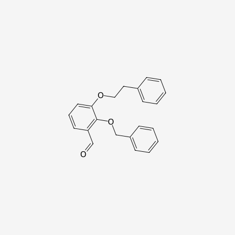 O=Cc1cccc(OCCc2ccccc2)c1OCc1ccccc1